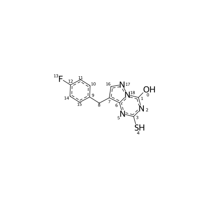 Oc1nc(S)nc2c(Cc3ccc(F)cc3)cnn12